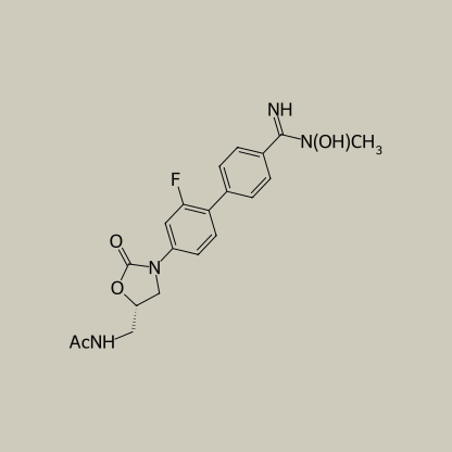 CC(=O)NC[C@H]1CN(c2ccc(-c3ccc(C(=N)N(C)O)cc3)c(F)c2)C(=O)O1